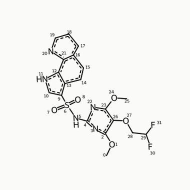 COc1nc(NS(=O)(=O)c2c[nH]c3c2ccc2cccnc23)nc(OC)c1OCC(F)F